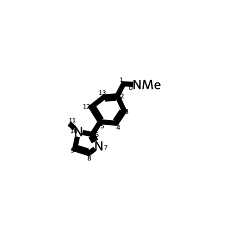 CNCc1ccc(-c2nccn2C)cc1